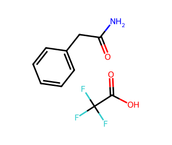 NC(=O)Cc1ccccc1.O=C(O)C(F)(F)F